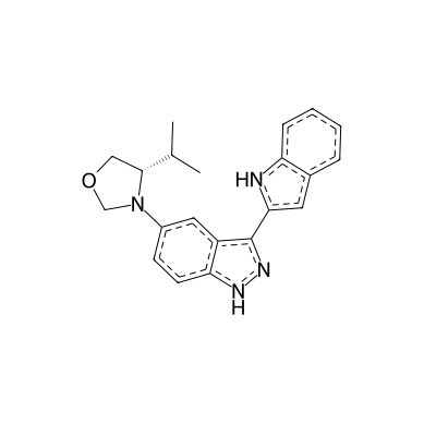 CC(C)[C@H]1COCN1c1ccc2[nH]nc(-c3cc4ccccc4[nH]3)c2c1